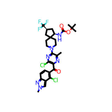 Cc1nc(C(=O)c2ccc3nn(C)cc3c2Cl)c(Cl)nc1N1CCC2(CC1)C[C@@H](C(F)(F)F)C[C@H]2NC(=O)OC(C)(C)C